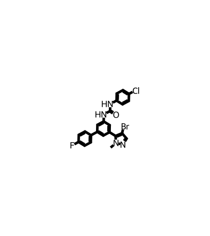 Cn1ncc(Br)c1-c1cc(NC(=O)Nc2ccc(Cl)cc2)cc(-c2ccc(F)cc2)c1